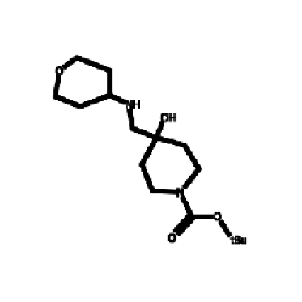 CC(C)(C)OC(=O)N1CCC(O)(CNC2CCOCC2)CC1